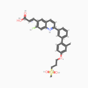 Cc1cc(OCCCS(C)(=O)=O)ccc1-c1cccc(-c2ccc3cc(/C=C/C(=O)O)c(F)cc3n2)c1